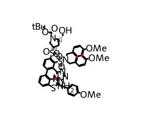 COc1ccc(CN(Cc2ccc(OC)cc2)S(=O)(=O)c2c(S(=O)(=O)[C@H]3C[C@@H](CO)N(C(=O)OC(C)(C)C)C3)ccc(-c3cccc4sc(N)nc34)c2-c2nnn(Cc3ccc(OC)cc3)n2)cc1